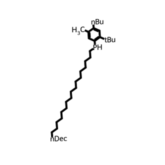 CCCCCCCCCCCCCCCCCCCCCCCCCCCPc1cc(C)c(CCCC)cc1C(C)(C)C